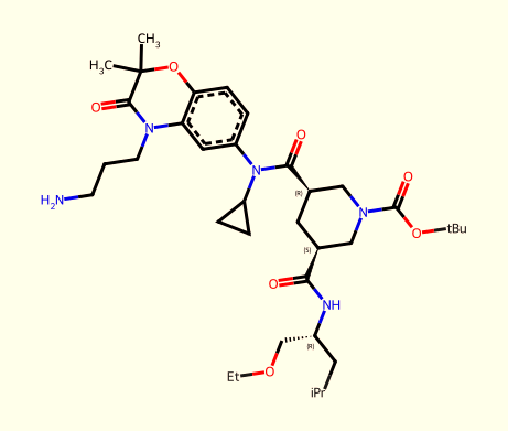 CCOC[C@@H](CC(C)C)NC(=O)[C@H]1C[C@@H](C(=O)N(c2ccc3c(c2)N(CCCN)C(=O)C(C)(C)O3)C2CC2)CN(C(=O)OC(C)(C)C)C1